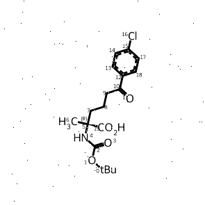 CC(C)(C)OC(=O)N[C@](C)(CCCC(=O)c1ccc(Cl)cc1)C(=O)O